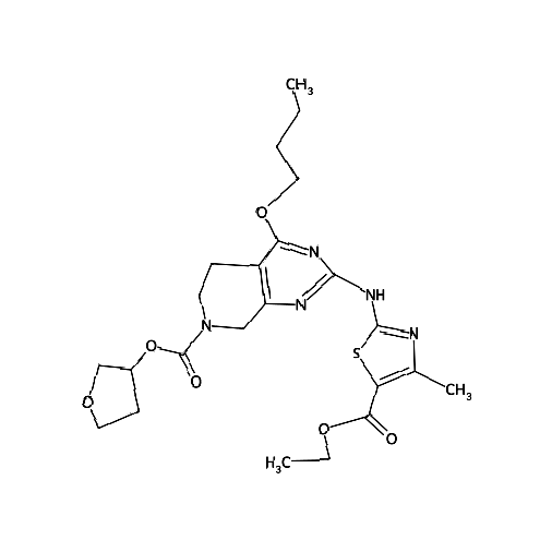 CCCCOc1nc(Nc2nc(C)c(C(=O)OCC)s2)nc2c1CCN(C(=O)OC1CCOC1)C2